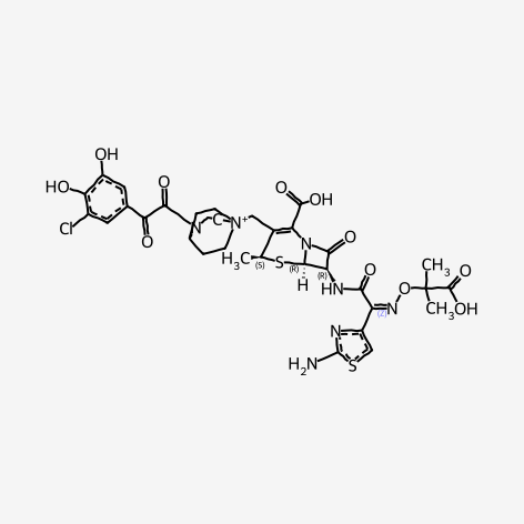 C[C@@H]1S[C@@H]2[C@H](NC(=O)/C(=N\OC(C)(C)C(=O)O)c3csc(N)n3)C(=O)N2C(C(=O)O)=C1C[N+]12CCC(CC1)N(C(=O)C(=O)c1cc(O)c(O)c(Cl)c1)CC2